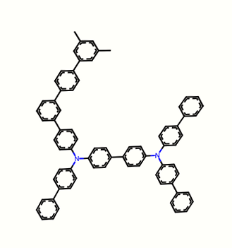 Cc1cc(C)cc(-c2ccc(-c3cccc(-c4ccc(N(c5ccc(-c6ccccc6)cc5)c5ccc(-c6ccc(N(c7ccc(-c8ccccc8)cc7)c7ccc(-c8ccccc8)cc7)cc6)cc5)cc4)c3)cc2)c1